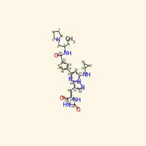 CCC(CN1CCCC1)NC(=O)c1cc(-c2cc(NC3CC3)n3ncc(/C=C4\NC(=O)NC4=O)c3n2)cs1